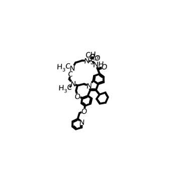 CN1CCN(C)C2COc3cc(OCc4ccccn4)ccc3-c3c(C4CCCCC4)c4ccc(cc4n3C2)C(=O)NS(=O)(=O)N(C)CC1